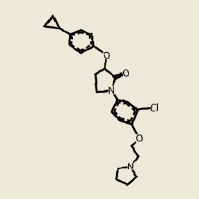 O=C1C(Oc2ccc(C3CC3)cc2)CCN1c1ccc(OCCN2CCCC2)c(Cl)c1